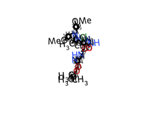 COc1ccc(CN(Cc2ccc(OC)cc2)c2cc(C)c(C(F)(F)F)c(-c3cc(OCCNCc4cncc(OCOCC[Si](C)(C)C)c4)c4c(=O)[nH]cnc4c3Cl)n2)cc1